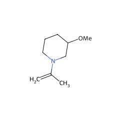 C=C(C)N1CCCC(OC)C1